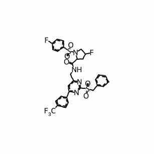 O=C(NCc1cc(-c2ccc(C(F)(F)F)cc2)nc(S(=O)(=O)Cc2ccccc2)n1)C1CC(F)CN1S(=O)(=O)c1ccc(F)cc1